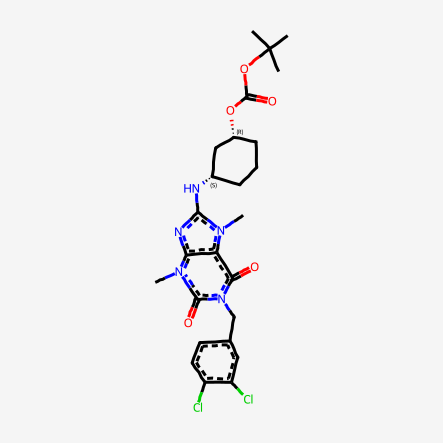 Cn1c(N[C@H]2CCC[C@@H](OC(=O)OC(C)(C)C)C2)nc2c1c(=O)n(Cc1ccc(Cl)c(Cl)c1)c(=O)n2C